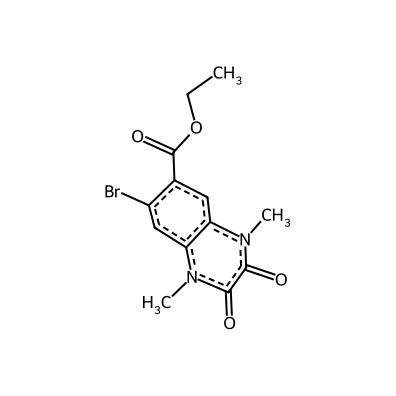 CCOC(=O)c1cc2c(cc1Br)n(C)c(=O)c(=O)n2C